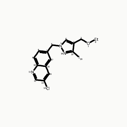 CCOCc1cn(Cc2ccc3ncc(Cl)cc3c2)nc1I